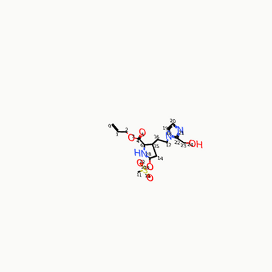 C=CCOC(=O)C1NC(OS(C)(=O)=O)CC1CCn1ccnc1CO